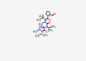 CC(C)[C@H](NC(=O)[C@H](C(C)C)N(C)C)C(=O)N(C)[C@H](C(=O)N1CCC[C@H]1[C]=O)C(C)C